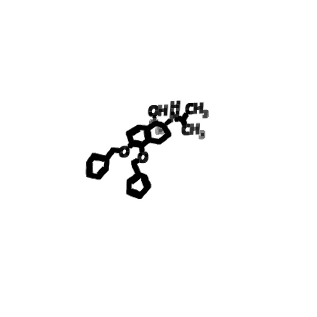 CC(C)N[C@H]1CCc2c(ccc(OCc3ccccc3)c2OCc2ccccc2)[C@@H]1O